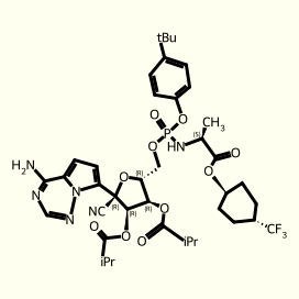 CC(C)C(=O)O[C@H]1[C@@H](OC(=O)C(C)C)[C@](C#N)(c2ccc3c(N)ncnn23)O[C@@H]1COP(=O)(N[C@@H](C)C(=O)O[C@H]1CC[C@H](C(F)(F)F)CC1)Oc1ccc(C(C)(C)C)cc1